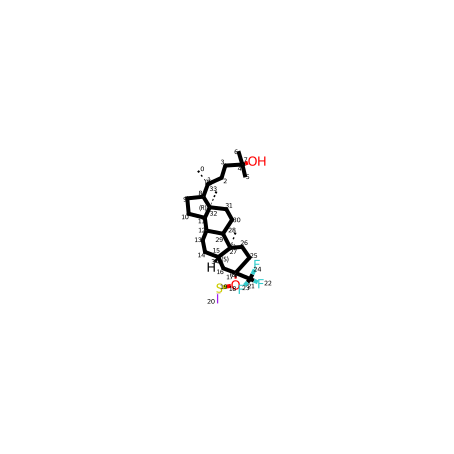 C[C@H](CCC(C)(C)O)C1CCC2C3CC[C@H]4C[C@](OSI)(C(F)(F)F)CC[C@]4(C)C3CC[C@@]21C